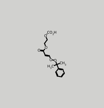 CC(C)(OOC=CC(=O)OCCOC(=O)O)c1ccccc1